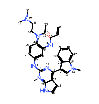 C=CC(=O)Nc1cc(Nc2nc(-c3cn(C)c4ccccc34)c3cc[nH]c3n2)ccc1N(CC)CCN(C)C